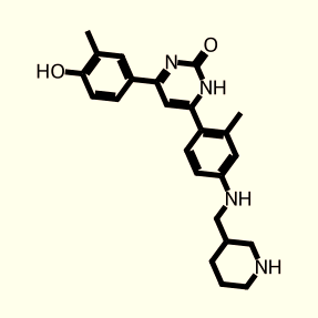 Cc1cc(-c2cc(-c3ccc(NCC4CCCNC4)cc3C)[nH]c(=O)n2)ccc1O